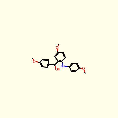 COc1ccc(Nc2ccc(OC)cc2C(O)c2ccc(OC)cc2)cc1